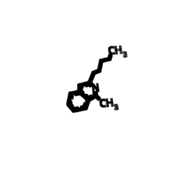 CCCCCc1cc2ccccc2c(C)n1